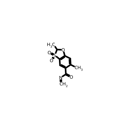 C=NC(=O)c1cc2c(cc1C)OC(C)S2(=O)=O